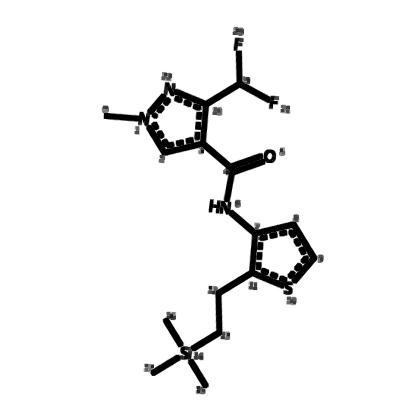 Cn1cc(C(=O)Nc2ccsc2CC[Si](C)(C)C)c(C(F)F)n1